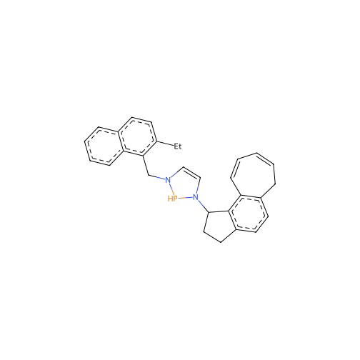 CCc1ccc2ccccc2c1CN1C=CN(C2CCc3ccc4c(c32)C=CC=CC4)P1